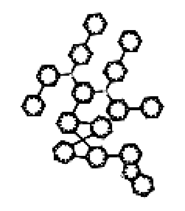 c1ccc(-c2ccc(N(c3cccc(-c4ccccc4)c3)c3cc(-c4cccc5c4-c4ccccc4C54c5ccccc5-c5ccc(-c6cccc7c6oc6ccccc67)cc54)cc(N(c4ccc(-c5ccccc5)cc4)c4cccc(-c5ccccc5)c4)c3)cc2)cc1